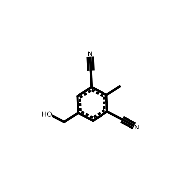 Cc1c(C#N)cc(CO)cc1C#N